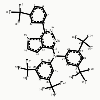 FC(F)(F)c1cccc(-c2nnc(N(c3cc(C(F)(F)F)cc(C(F)(F)F)c3)c3cc(C(F)(F)F)cc(C(F)(F)F)c3)c3ccsc23)c1